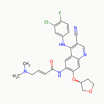 CN(C)CC=CC(=O)Nc1cc2c(Nc3ccc(F)c(Cl)c3)c(C#N)cnc2cc1O[C@H]1CCOC1